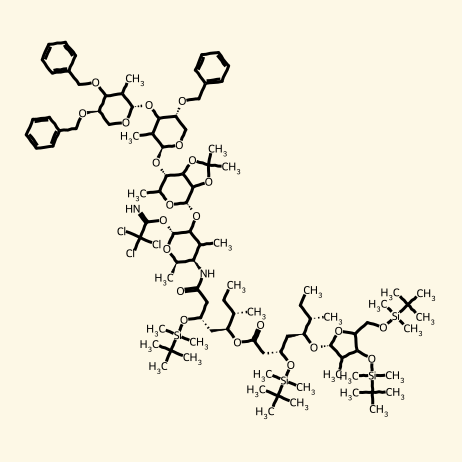 CC[C@H](C)[C@H](C[C@@H](CC(=O)N[C@@H]1C(C)C(O[C@@H]2OC(C)[C@H](O[C@@H]3OC[C@@H](OCc4ccccc4)C(O[C@@H]4OC[C@@H](OCc5ccccc5)C(OCc5ccccc5)C4C)C3C)C3OC(C)(C)OC32)[C@@H](OC(=N)C(Cl)(Cl)Cl)O[C@@H]1C)O[Si](C)(C)C(C)(C)C)OC(=O)C[C@H](C[C@H](O[C@@H]1OC(CO[Si](C)(C)C(C)(C)C)C(O[Si](C)(C)C(C)(C)C)C1C)[C@@H](C)CC)O[Si](C)(C)C(C)(C)C